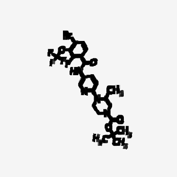 CC1CN(C(=O)OC(C)(C)C)CCN1c1ccc(NC(=O)c2ccc(Br)c(OC(F)(F)F)c2F)cn1